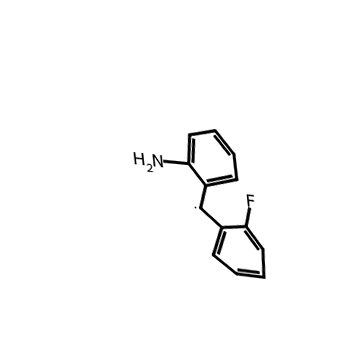 Nc1ccccc1[CH]c1ccccc1F